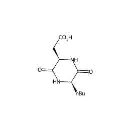 CCCC[C@H]1NC(=O)[C@@H](CC(=O)O)NC1=O